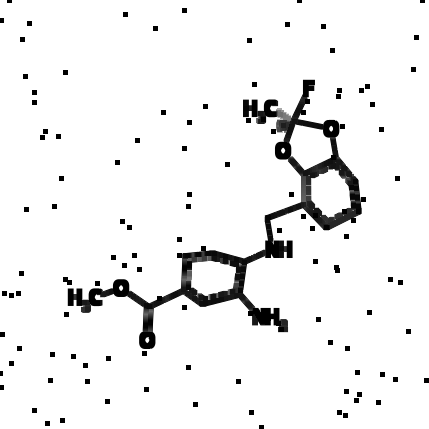 COC(=O)c1ccc(NCc2cccc3c2O[C@@](C)(F)O3)c(N)c1